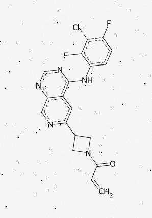 C=CC(=O)N1CC(c2cc3c(Nc4ccc(F)c(Cl)c4F)ncnc3cn2)C1